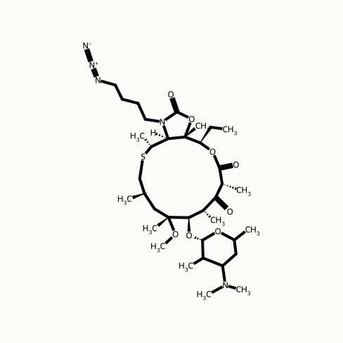 CC[C@H]1OC(=O)[C@H](C)C(=O)[C@H](C)[C@@H](O[C@@H]2OC(C)CC(N(C)C)C2C)[C@](C)(OC)C[C@@H](C)CS[C@H](C)[C@H]2N(CCCCN=[N+]=[N-])C(=O)O[C@]12C